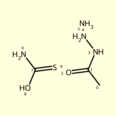 CC(=O)NN.N.NC(O)=S